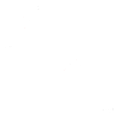 CCCCCCCCCCCCOC(=O)C(CC)CCCCCCC1OC12OC2CCCCCCC(=O)O